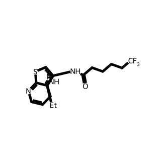 CCC1NN(NC(=O)CCCCC(F)(F)F)C2=CSC3=NC=CCC231